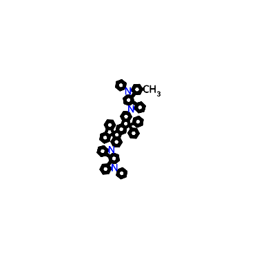 Cc1ccc2c(c1)c1c3c4ccccc4n(-c4ccc5c(c4)C(c4ccccc4)(c4ccccc4)c4cc6c(cc4-5)C4(c5ccccc5-c5ccccc54)c4cc(-n5c7ccccc7c7c8c9ccccc9n(-c9ccccc9)c8ccc75)ccc4-6)c3ccc1n2-c1ccccc1